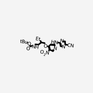 CCC(CCNC(=O)OC(C)(C)C)COc1cc(Nc2cnc(C#N)cn2)ncc1[N+](=O)[O-]